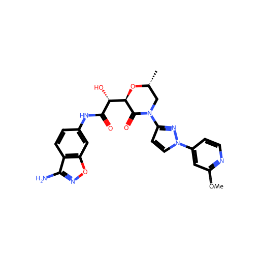 COc1cc(-n2ccc(N3C[C@@H](C)O[C@H]([C@@H](O)C(=O)Nc4ccc5c(N)noc5c4)C3=O)n2)ccn1